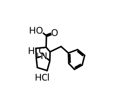 CN1C2CCC1C(Cc1ccccc1)C(C(=O)O)C2.Cl